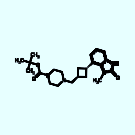 Cn1c(=O)[nH]c2cccc([C@H]3C[C@H](CN4CCN(C(=O)OC(C)(C)C)CC4)C3)c21